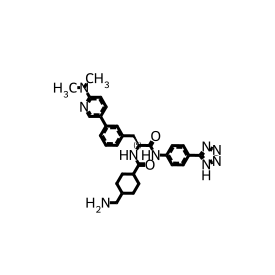 CN(C)c1ccc(-c2cccc(C[C@H](NC(=O)C3CCC(CN)CC3)C(=O)Nc3ccc(-c4nnn[nH]4)cc3)c2)cn1